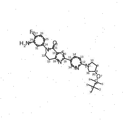 CC(C)(C)[Si](C)(C)O[C@@H]1CCN(c2ccc(-c3nc4c(s3)C(=O)N(c3ccc(F)c(N)c3)CC4)cn2)C1